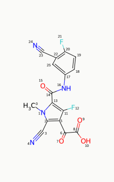 Cn1c(C#N)c(C(=O)C(=O)O)c(F)c1C(=O)Nc1ccc(F)c(C#N)c1